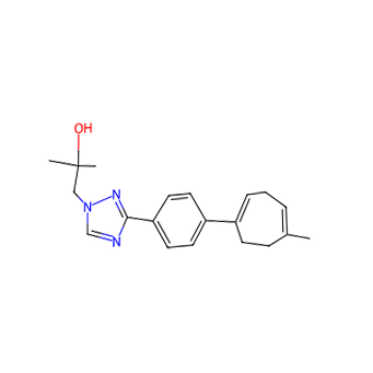 CC1=CCC=C(c2ccc(-c3ncn(CC(C)(C)O)n3)cc2)CC1